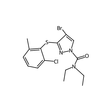 CCN(CC)C(=O)n1cc(Br)c(Sc2c(C)cccc2Cl)n1